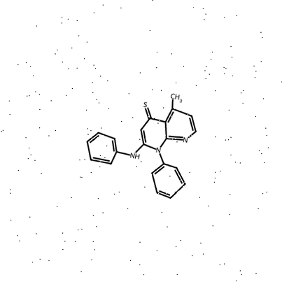 Cc1ccnc2c1c(=S)cc(Nc1ccccc1)n2-c1ccccc1